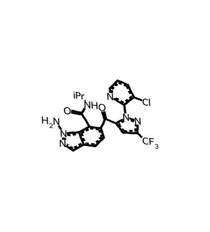 CC(C)NC(=O)c1c(C(=O)c2cc(C(F)(F)F)nn2-c2ncccc2Cl)ccc2cnn(N)c12